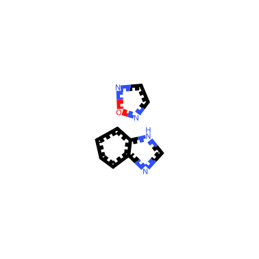 c1ccc2[nH]cnc2c1.c1cnon1